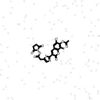 CC(=O)Oc1c(Cl)cc2cc(-c3ncc(CC(=O)ON4C(=O)CCC4=O)s3)c(=O)oc2c1F